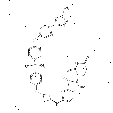 Cc1nc(-c2ccc(Oc3ccc(C(C)(C)c4ccc(O[C@H]5C[C@H](Nc6ccc7c(c6)C(=O)N(C6CCC(=O)NC6=O)C7=O)C5)cc4)cc3)cn2)no1